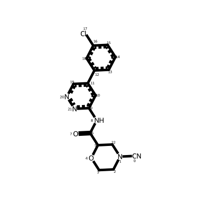 N#CN1CCOC(C(=O)Nc2cc(-c3cccc(Cl)c3)cnn2)C1